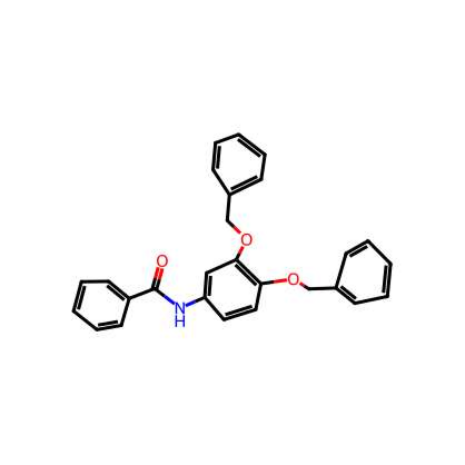 O=C(Nc1ccc(OCc2ccccc2)c(OCc2ccccc2)c1)c1ccccc1